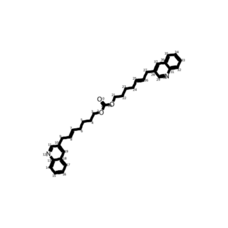 O=C(OCCCCC=CCc1cnc2ccccc2c1)OCCCCC=CCc1cnc2ccccc2c1